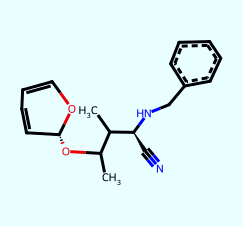 CC(O[C@@H]1C=CC=CO1)C(C)[C@H](C#N)NCc1ccccc1